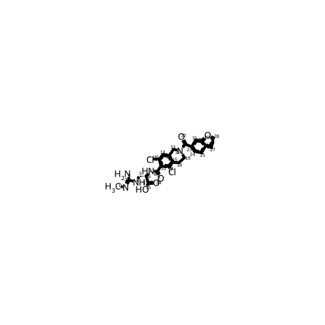 C/N=C(\N)NC[C@H](NC(=O)c1c(Cl)cc2c(c1Cl)CCN(C(=O)c1ccc3ccoc3c1)C2)C(=O)O